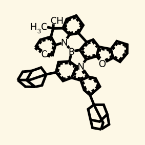 CC1(C)c2ccccc2N2B3c4c(cc5c(oc6ccccc65)c4-n4c5ccc(C67CC8CC(CC(C8)C6)C7)cc5c5cc(C67CC8CC(CC(C8)C6)C7)cc3c54)-c3cccc1c32